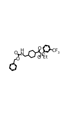 CC[N+]([O-])(C(=O)C1CCC(CNC(=O)OCc2ccccc2)CC1)c1cccc(C(F)(F)F)c1